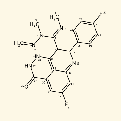 C=NN(C)/C(=N\C)C1C2=c3c(cc(F)cc3=NC1c1ccc(F)cc1)C(=O)NN2